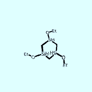 CCO[SiH]1C[SiH](OCC)C[SiH](OCC)C1